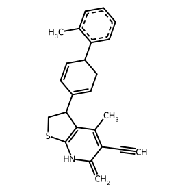 C#CC1=C(C)C2=C(NC1=C)SCC2C1=CCC(c2ccccc2C)C=C1